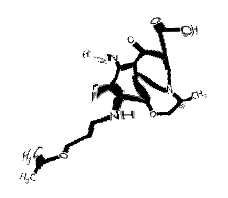 CC(C)OCCCNc1c(F)c(N)c2c(=O)c(C(=O)O)cn3c2c1OC[C@@H]3C